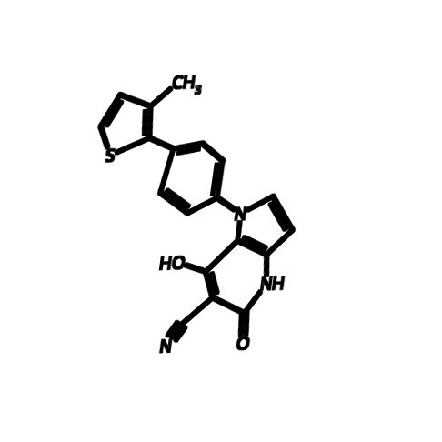 Cc1ccsc1-c1ccc(-n2ccc3[nH]c(=O)c(C#N)c(O)c32)cc1